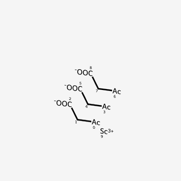 CC(=O)CC(=O)[O-].CC(=O)CC(=O)[O-].CC(=O)CC(=O)[O-].[Sc+3]